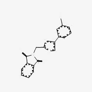 O=C1c2ccccc2C(=O)N1Cc1nc(-c2cccc(Cl)c2)cs1